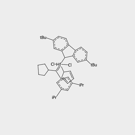 CC(C)c1cc([C](C2CCCC2)=[Hf]([Cl])([Cl])([CH]2C=CC=C2)[CH]2c3cc(C(C)(C)C)ccc3-c3ccc(C(C)(C)C)cc32)cc(C(C)C)c1